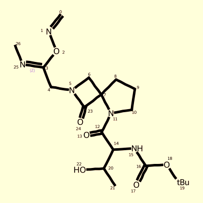 C=NO/C(CN1CC2(CCCN2C(=O)C(NC(=O)OC(C)(C)C)C(C)O)C1=O)=N\C